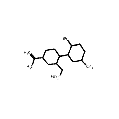 C=C(C)C1CCC(C2CC(C)CCC2C(C)C)C(CC(=O)O)C1